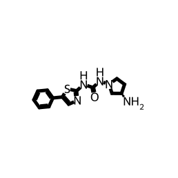 N[C@@H]1CCN(NC(=O)Nc2ncc(-c3ccccc3)s2)C1